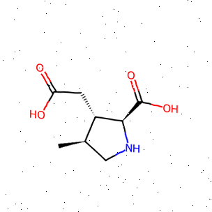 C[C@@H]1CN[C@H](C(=O)O)[C@H]1CC(=O)O